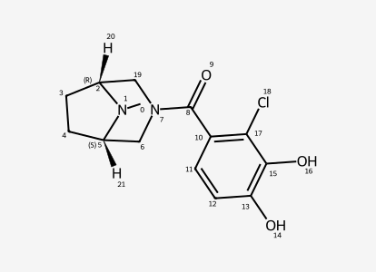 CN1[C@@H]2CC[C@H]1CN(C(=O)c1ccc(O)c(O)c1Cl)C2